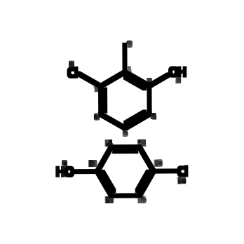 Cc1c(O)cccc1Cl.Oc1ccc(Cl)cc1